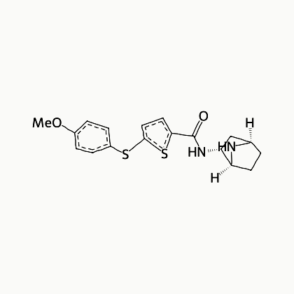 COc1ccc(Sc2ccc(C(=O)N[C@@H]3C[C@H]4CC[C@@H]3N4)s2)cc1